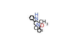 C[C@@H]1Cc2c([nH]c3ccccc23)[C@@H](C)N1C(=O)C1CCCC1